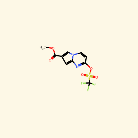 COC(=O)c1cc2nc(OS(=O)(=O)C(F)(F)F)ccn2c1